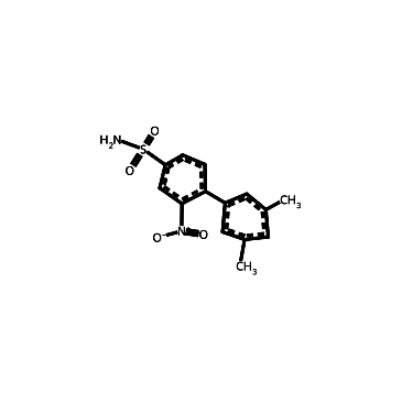 Cc1cc(C)cc(-c2ccc(S(N)(=O)=O)cc2[N+](=O)[O-])c1